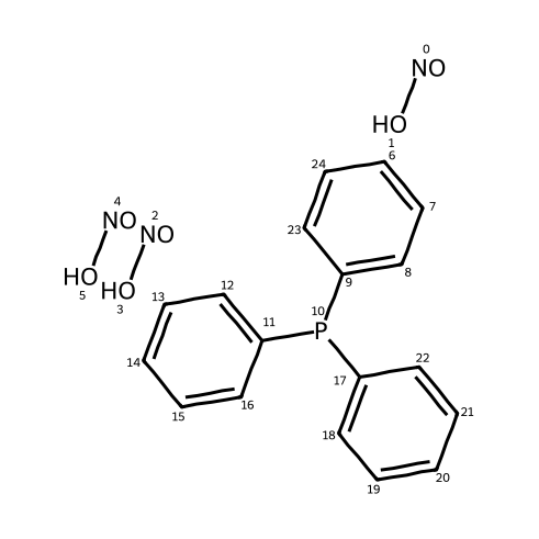 O=NO.O=NO.O=NO.c1ccc(P(c2ccccc2)c2ccccc2)cc1